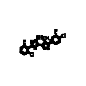 Cc1c(-c2nc(-c3c(F)cccc3Cl)nn2C)csc1-c1ccc(Cl)c(F)c1